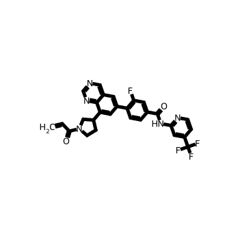 C=CC(=O)N1CCC(c2cc(-c3ccc(C(=O)Nc4cc(C(F)(F)F)ccn4)cc3F)cc3cncnc23)C1